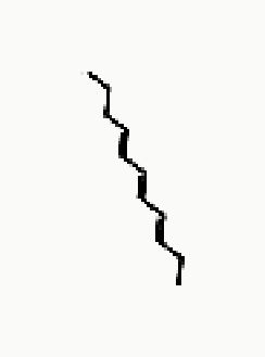 [CH2]CC/C=C/C=C/C=C/CC